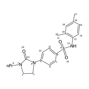 CCCN1CCN(c2ccc(S(=O)(=O)Nc3ccc(C)cc3C)cc2)C1=O